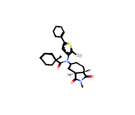 CN1C(=O)[C@H]2CCC(N(C(=O)C3(C)CCCCC3)c3cc(C4=CCCCC4)sc3C(=O)O)C[C@@H]2C1=O